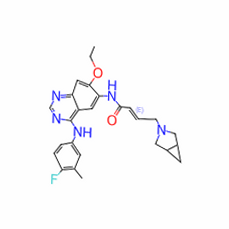 CCOc1cc2ncnc(Nc3ccc(F)c(C)c3)c2cc1NC(=O)/C=C/CN1CC2CC2C1